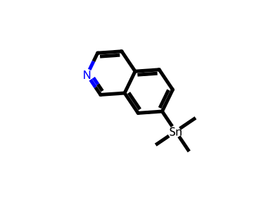 [CH3][Sn]([CH3])([CH3])[c]1ccc2ccncc2c1